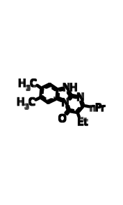 CCCc1nc2[nH]c3cc(C)c(C)cc3n2c(=O)c1CC